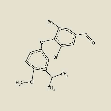 COc1ccc(Oc2c(Br)cc(C=O)cc2Br)cc1C(C)C